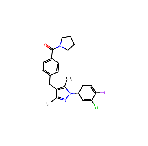 Cc1nn(C2C=C(Cl)C(I)=CC2)c(C)c1Cc1ccc(C(=O)N2CCCC2)cc1